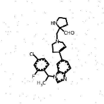 CC(c1ccc(Cl)cc1F)n1cnc2ccc(C3=CCN(CC4(C=O)CCCN4)CC3)cc21